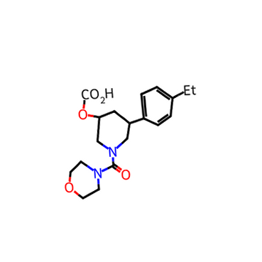 CCc1ccc(C2CC(OC(=O)O)CN(C(=O)N3CCOCC3)C2)cc1